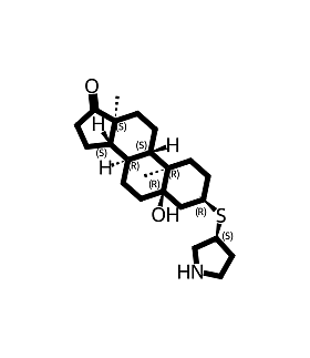 C[C@]12CC[C@H]3[C@@H](CC[C@@]4(O)C[C@H](S[C@H]5CCNC5)CC[C@]34C)[C@@H]1CCC2=O